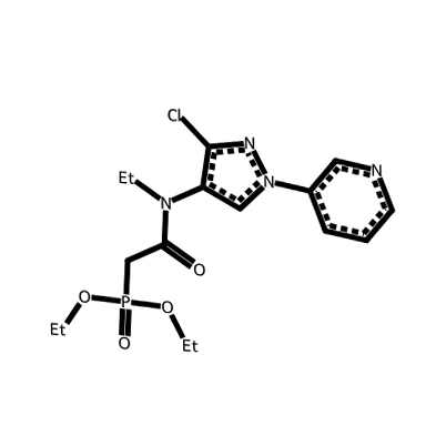 CCOP(=O)(CC(=O)N(CC)c1cn(-c2cccnc2)nc1Cl)OCC